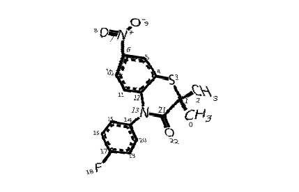 CC1(C)Sc2cc([N+](=O)[O-])ccc2N(c2ccc(F)cc2)C1=O